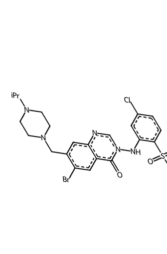 CCS(=O)(=O)c1ccc(Cl)cc1Nn1cnc2cc(CN3CCN(C(C)C)CC3)c(Br)cc2c1=O